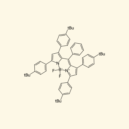 CC(C)(C)c1ccc(C2=CC(c3ccc(C(C)(C)C)cc3)=[N+]3C2=C(c2ccccc2)c2c(-c4ccc(C(C)(C)C)cc4)cc(-c4ccc(C(C)(C)C)cc4)n2[B-]3(F)F)cc1